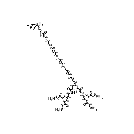 CCC(C)(C)SCCNC(=O)CCOCCOCCOCCOCCOCCOCCOCCOCCN(CCC(=O)NCCN(CCC(=O)CCN)CCC(=O)CCN)CCC(=O)NCCN(CCC(=O)CCN)CCC(=O)CCN